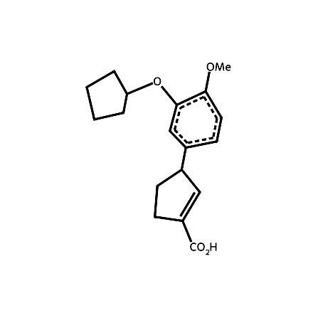 COc1ccc(C2C=C(C(=O)O)CC2)cc1OC1CCCC1